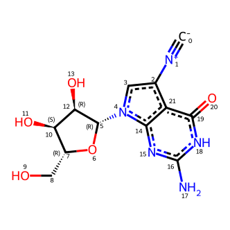 [C-]#[N+]c1cn([C@@H]2O[C@H](CO)[C@@H](O)[C@H]2O)c2nc(N)[nH]c(=O)c12